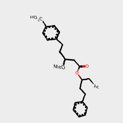 COC(CCc1ccc(C(=O)O)cc1)CC(=O)OC(CCc1ccccc1)CC(C)=O